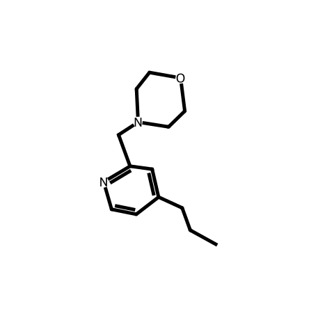 CCCc1ccnc(CN2CCOCC2)c1